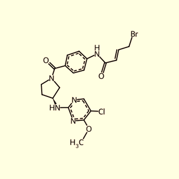 COc1nc(N[C@H]2CCN(C(=O)c3ccc(NC(=O)/C=C/CBr)cc3)C2)ncc1Cl